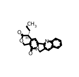 CCC[C@H]1C(=O)OCc2c1cc1n(c2=O)Cc2cc3ccccc3nc2-1